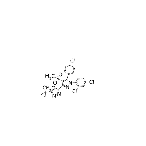 CS(=O)(=O)c1c(-c2nnc(C3(C(F)(F)F)CC3)o2)nn(-c2ccc(Cl)cc2Cl)c1-c1ccc(Cl)cc1